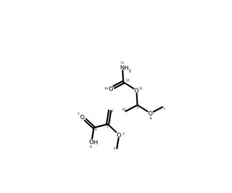 C=C(OC)C(=O)O.COC(C)OC(N)=O